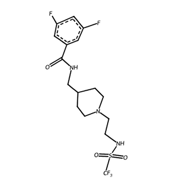 O=C(NCC1CCN(CCNS(=O)(=O)C(F)(F)F)CC1)c1cc(F)cc(F)c1